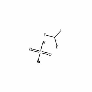 FC(F)F.O=S(=O)(Br)Br